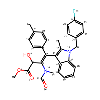 COC(=O)C(O)/C(=C(\c1ccc(C)cc1)c1c(C)n(Cc2ccc(F)cc2)c2ccccc12)N(C)C=O